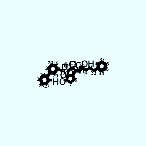 CC(O)(C=CC1CCC(O)C1(CC(=O)O)OC(=O)c1cccc(-c2ccccc2)c1)CCCc1ccccc1